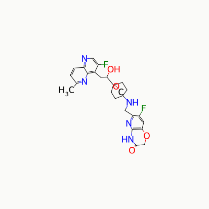 Cc1ccc2ncc(F)c(CC(O)C34CCC(NCc5nc6c(cc5F)OCC(=O)N6)(CC3)CO4)c2n1